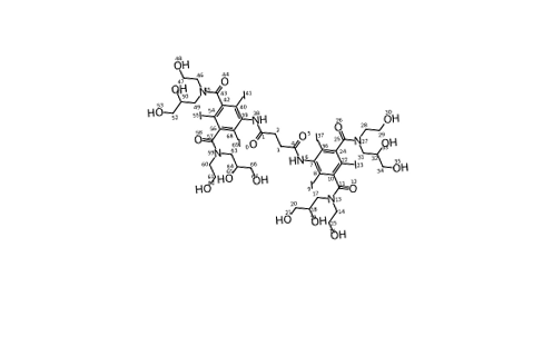 O=C(CCC(=O)Nc1c(I)c(C(=O)N(CCO)CC(O)CO)c(I)c(C(=O)N(CCO)CC(O)CO)c1I)Nc1c(I)c(C(=O)N(CCO)CC(O)CO)c(I)c(C(=O)N(CCO)CC(O)CO)c1I